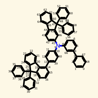 c1ccc(-c2cccc(N(c3ccc(-c4cccc5c4-c4ccccc4C5(c4ccccc4)c4ccccc4)cc3)c3ccc4c(c3)C(c3ccccc3)(c3ccccc3)c3ccccc3-4)c2)cc1